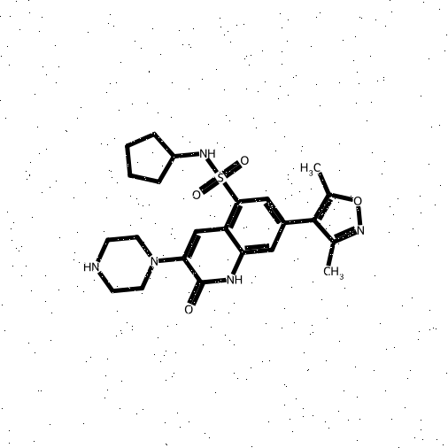 Cc1noc(C)c1-c1cc(S(=O)(=O)NC2CCCC2)c2cc(N3CCNCC3)c(=O)[nH]c2c1